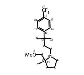 COC[C@@]1(C)CCCN1CCC(C)(C)c1ccc(C(F)(F)F)cc1